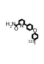 NC(=O)c1cccc(-c2ccc(Oc3ccc([123I])cc3)cc2)n1